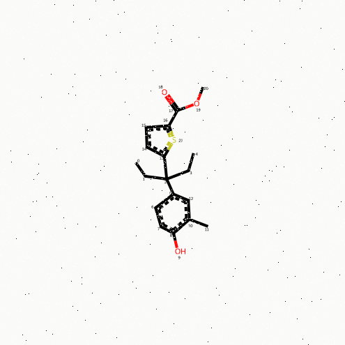 CCC(CC)(c1ccc(O)c(C)c1)c1ccc(C(=O)OC)s1